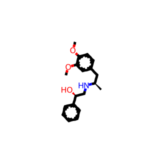 COc1ccc(C[C@@H](C)NC[C@H](O)c2ccccc2)cc1OC